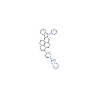 c1ccc(-n2c3ccccc3c3c4ccc5ccc(-c6ccc(-c7cn8ccccc8n7)cc6)c6ccc(cc32)c4c56)cc1